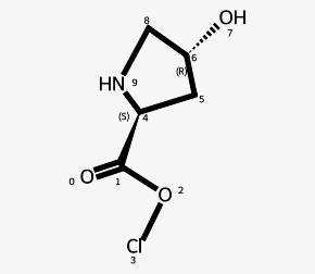 O=C(OCl)[C@@H]1C[C@@H](O)CN1